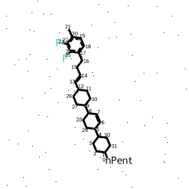 CCCCCC1CCC(C2C=CC(C3CCC(/C=C/CCc4ccc(C)c(F)c4F)CC3)CC2)CC1